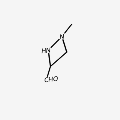 CN1CC(C=O)N1